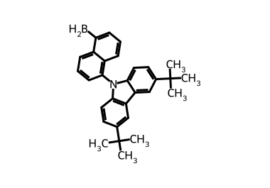 Bc1cccc2c(-n3c4ccc(C(C)(C)C)cc4c4cc(C(C)(C)C)ccc43)cccc12